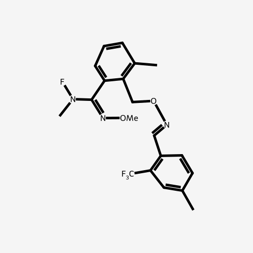 CO/N=C(\c1cccc(C)c1CO/N=C/c1ccc(C)cc1C(F)(F)F)N(C)F